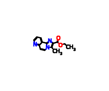 CCOC(=O)c1nc2c3cccnc3ccn2c1C